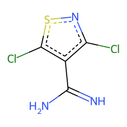 N=C(N)c1c(Cl)nsc1Cl